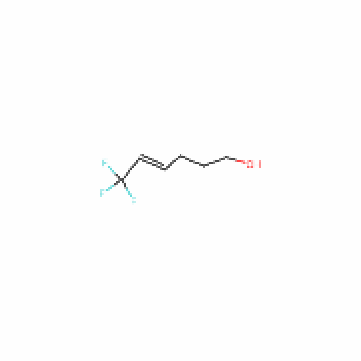 OCCCC=CC(F)(F)F